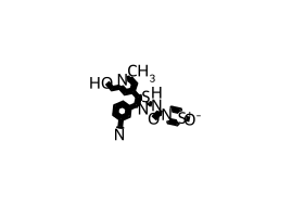 Cc1cc(-c2sc(NC(=O)N3C=C[S+]([O-])C=C3)nc2-c2cccc(C#N)c2)cc(CO)n1